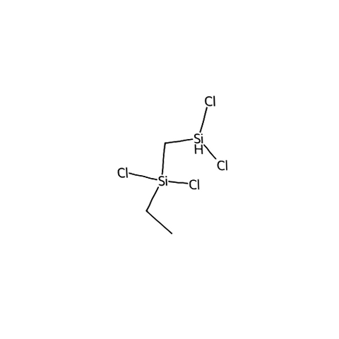 CC[Si](Cl)(Cl)C[SiH](Cl)Cl